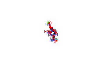 CC(C)[C@@H]1NC(=O)[C@@H](Cc2ccc(OCCCNC(=O)C(F)(F)F)cc2)NC(=O)[C@H](CC(=O)O)NC(=O)CNC(=O)[C@H](CCCNC(=N)NC(=O)C(F)(F)F)NC1=O